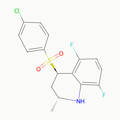 C[C@@H]1C[C@@H](S(=O)(=O)c2ccc(Cl)cc2)c2c(F)ccc(F)c2N1